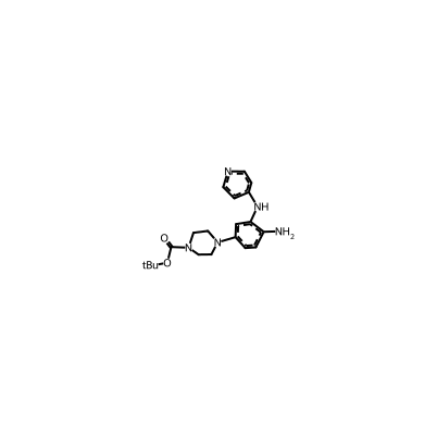 CC(C)(C)OC(=O)N1CCN(c2ccc(N)c(Nc3ccncc3)c2)CC1